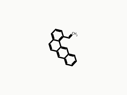 C=Cc1cccc2ccc3cc4ccccc4cc3c12